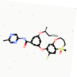 C=S1(=O)CCCOc2cc(Oc3cc(O[C@@H](C)COC)cc(C(=O)Nc4cnc(C)cn4)c3)c(F)cc21